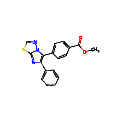 COC(=O)c1ccc(-c2c(-c3ccccc3)nc3scnn23)cc1